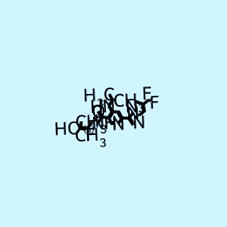 CC(C)Nc1cc(-c2cnc3cc(C(F)F)cnn23)ncc1C(=O)NC[C@H](F)C(C)(C)O